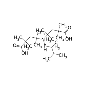 CC(C)C(C)PN(C(C)(C)CC(C)(C)C(=O)O)C(C)(C)CC(C)(C)C(=O)O